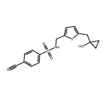 N#Cc1ccc(S(=O)(=O)NCc2ccc(CC3(O)CC3)s2)cc1